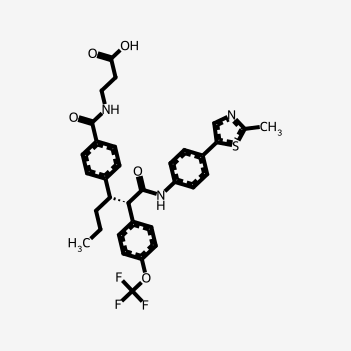 CCCC(c1ccc(C(=O)NCCC(=O)O)cc1)[C@H](C(=O)Nc1ccc(-c2cnc(C)s2)cc1)c1ccc(OC(F)(F)F)cc1